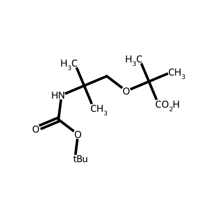 CC(C)(COC(C)(C)C(=O)O)NC(=O)OC(C)(C)C